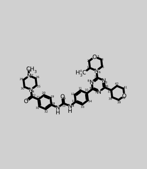 CC1COCCN1c1nc(-c2ccc(NC(=O)Nc3ccc(C(=O)N4CCN(C)CC4)cc3)cc2)nc(C2CCOCC2)n1